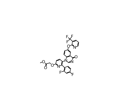 COC(=O)COc1ccc(-n2cnc(=O)c3cc(Oc4ncccc4C(F)(F)F)ccc32)c(-c2ccc(F)cc2F)n1